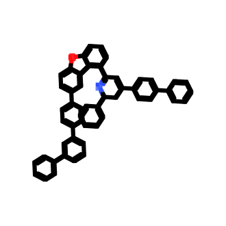 C1=C(c2ccc(-c3ccccc3)cc2)CC(c2ccccc2)N=C1c1cccc2oc3ccc(-c4ccc(-c5cccc(-c6ccccc6)c5)cc4)cc3c12